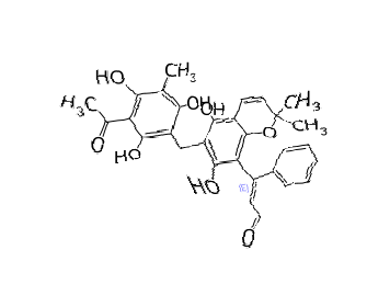 CC(=O)c1c(O)c(C)c(O)c(Cc2c(O)c3c(c(/C(=C/C=O)c4ccccc4)c2O)OC(C)(C)C=C3)c1O